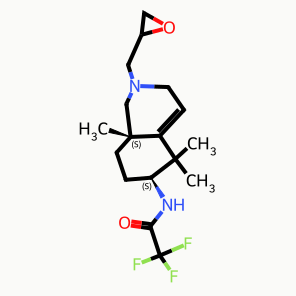 CC1(C)C2=CCN(CC3CO3)C[C@@]2(C)CC[C@@H]1NC(=O)C(F)(F)F